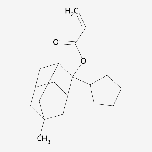 C=CC(=O)OC1(C2CCCC2)C2CC3CC1CC(C)(C3)C2